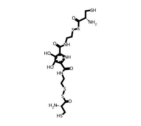 N[C@@H](CS)C(=O)SSCCNC(=O)c1[nH]c(C(=O)NCCSSC(=O)[C@@H](N)CS)c(O)c1O